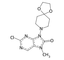 Cn1c(=O)n(N2CCC3(CC2)OCCO3)c2nc(Cl)ncc21